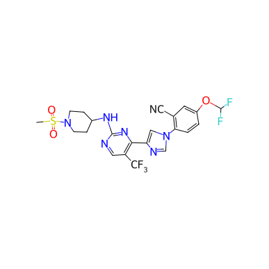 CS(=O)(=O)N1CCC(Nc2ncc(C(F)(F)F)c(-c3cn(-c4ccc(OC(F)F)cc4C#N)cn3)n2)CC1